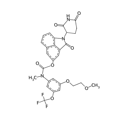 COCCOc1cc(OC(F)(F)F)cc(N(C)C(=O)Oc2cc3c4c(cccc4c2)N(C2CCC(=O)NC2=O)C3=O)c1